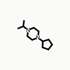 CC(C)N1CCN(C2CCCC2)CC1